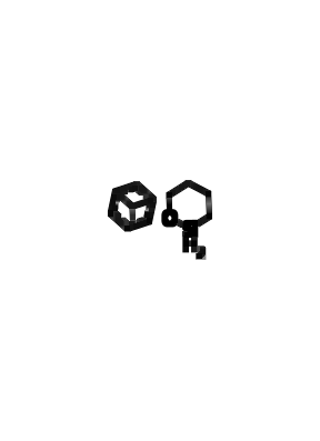 C1CC[SiH2]OC1.CC1c2cccc1c2